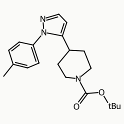 Cc1ccc(-n2nccc2C2CCN(C(=O)OC(C)(C)C)CC2)cc1